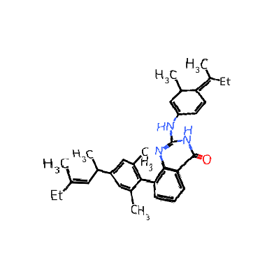 CC/C(C)=C1\C=CC(Nc2nc3c(-c4c(C)cc(C(C)/C=C(\C)CC)cc4C)cccc3c(=O)[nH]2)=CC1C